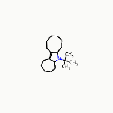 CC(C)(C)N1C2CCCCCCC2=C2CCCCCC21